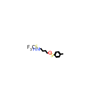 Cc1ccc(SOCCCCNSC(F)(F)F)cc1